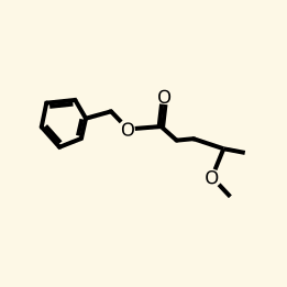 COC(C)CCC(=O)OCc1ccccc1